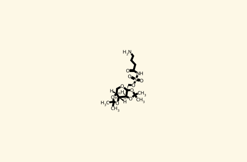 CC1(C)O[C@@H]2[C@@H](CO[C@@]3(COS(=O)(=O)NC(=O)CCCN)OC(C)(C)O[C@@H]23)O1